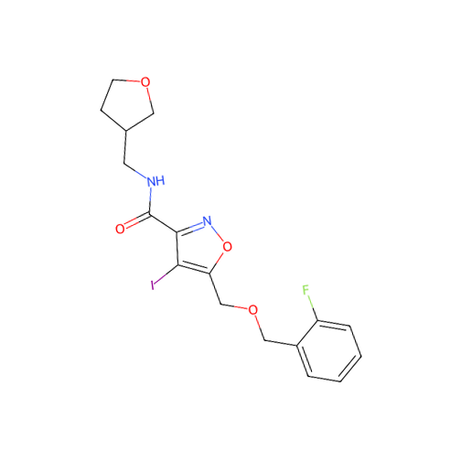 O=C(NCC1CCOC1)c1noc(COCc2ccccc2F)c1I